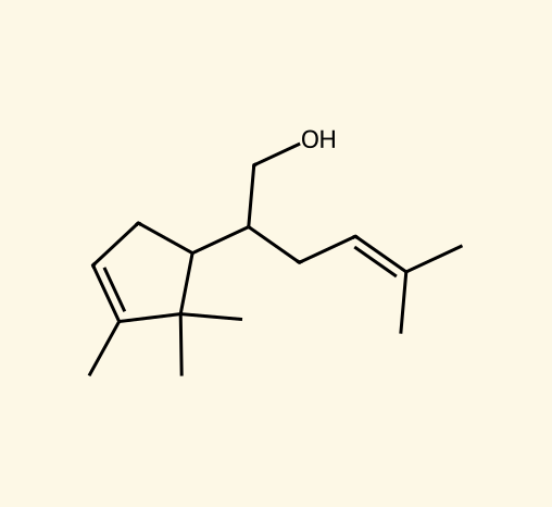 CC(C)=CCC(CO)C1CC=C(C)C1(C)C